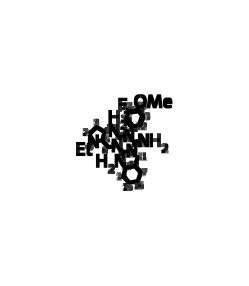 CCN1CCCC1CN1C(N)N(CC2CCCCC2)C(N)N(c2ccc(OC)c(F)c2)C1N